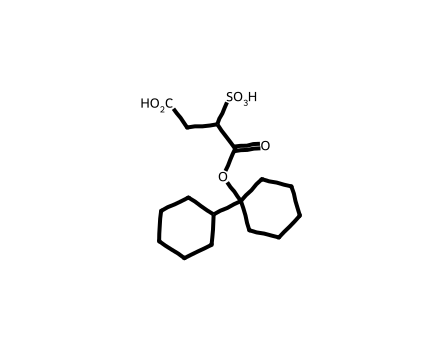 O=C(O)CC(C(=O)OC1(C2CCCCC2)CCCCC1)S(=O)(=O)O